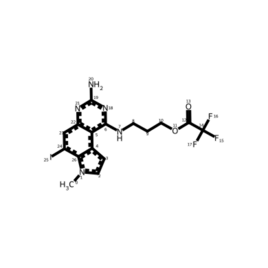 Cn1ccc2c3c(NCCCOC(=O)C(F)(F)F)nc(N)nc3cc(I)c21